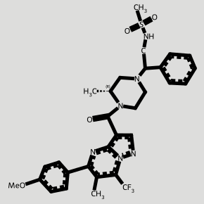 COc1ccc(-c2nc3c(C(=O)N4CCN(C(CNS(C)(=O)=O)c5ccccc5)C[C@H]4C)cnn3c(C(F)(F)F)c2C)cc1